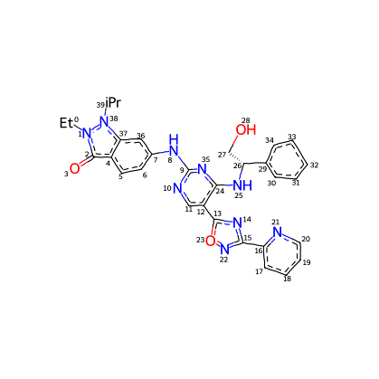 CCn1c(=O)c2ccc(Nc3ncc(-c4nc(-c5ccccn5)no4)c(N[C@H](CO)c4ccccc4)n3)cc2n1C(C)C